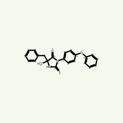 CC1(Cc2ccccc2)NC(=S)N(c2ccc(Oc3ccccc3)cc2)C1=O